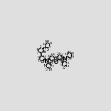 c1ccc(-c2cccc(-c3cccc(-n4c5ccccc5c5c6oc7c(ccc8c7c7ccccc7n8-c7ccccc7)c6ccc54)c3)c2)cc1